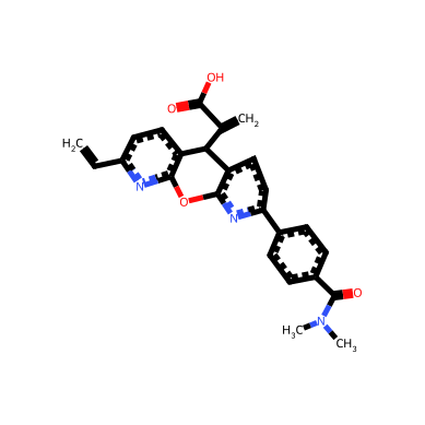 C=Cc1ccc2c(n1)Oc1nc(-c3ccc(C(=O)N(C)C)cc3)ccc1C2C(=C)C(=O)O